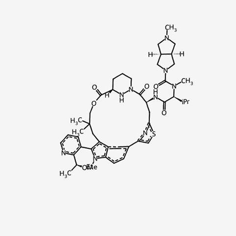 CCn1c(-c2cccnc2[C@H](C)OC)c2c3cc(ccc31)-c1csc(n1)C[C@H](NC(=O)[C@H](C(C)C)N(C)C(=O)N1C[C@H]3CN(C)C[C@H]3C1)C(=O)N1CCC[C@H](N1)C(=O)OCC(C)(C)C2